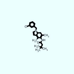 CC1=C(NC(=O)CC(C)(C)C)C(C)=C2C=CN(Cc3cccc(Cl)c3)C2C1